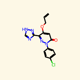 C=CCOc1cc(=O)n(-c2ccc(Cl)cc2)nc1-c1nc[nH]n1